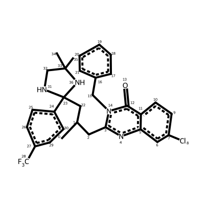 CC(Cc1nc2cc(Cl)ccc2c(=O)n1Cc1ccccc1)CC1(c2ccc(C(F)(F)F)cc2)NCC(C)(C)N1